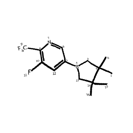 CC1(C)CB(c2cnc(C(F)(F)F)c(F)c2)CC1(C)C